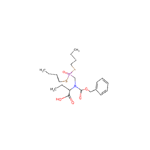 CCCCSP(=O)(CN(C(=O)OCc1ccccc1)C(CC)C(=O)O)SCCCC